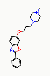 CN1CCN(CCCOc2ccc3nc(-c4ccccc4)oc3c2)CC1